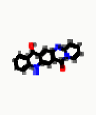 O=c1c2ccccc2[nH]c2cc3c(=O)n4ccccc4nc3cc12